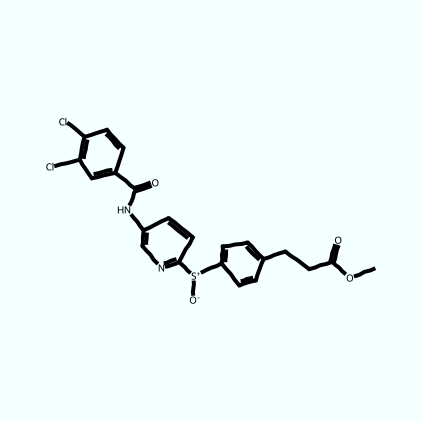 COC(=O)CCc1ccc([S+]([O-])c2ccc(NC(=O)c3ccc(Cl)c(Cl)c3)cn2)cc1